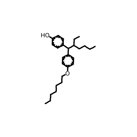 CCCCCCCOc1ccc(C(c2ccc(O)cc2)C(CC)CCCC)cc1